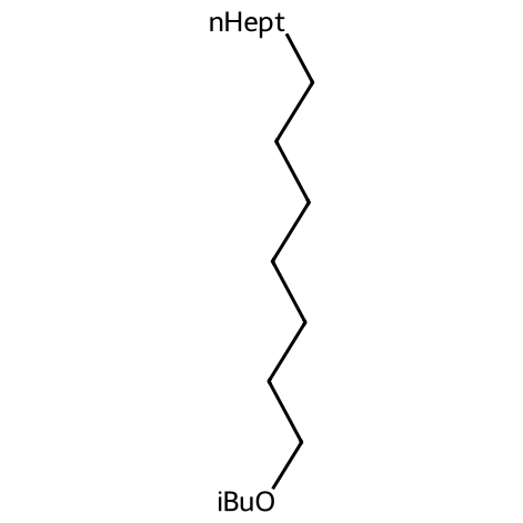 CCCCCCCCCCCCCCOCC(C)C